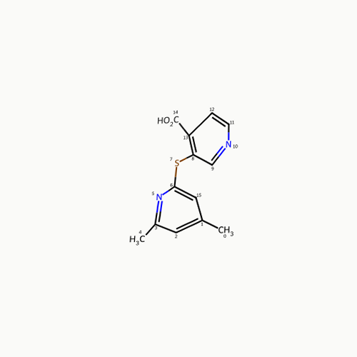 Cc1cc(C)nc(Sc2cnccc2C(=O)O)c1